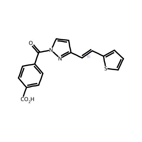 O=C(O)c1ccc(C(=O)n2ccc(/C=C/c3cccs3)n2)cc1